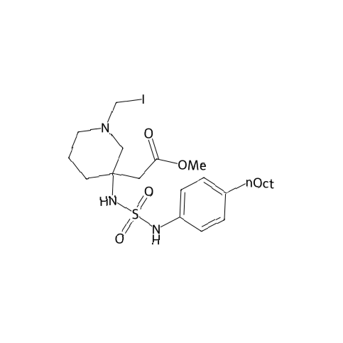 CCCCCCCCc1ccc(NS(=O)(=O)NC2(CC(=O)OC)CCCN(CI)C2)cc1